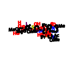 CC#C/C=C\C#C[C@H](OC1OC(C)C(NOC2CC(O)C(SC(=O)c3c(C)c(I)c(OC4OC(C)C(O)C(OC)C4O)c(OC)c3OC)C(C)O2)C(O)C1OC1CC(OC)C(N(CC)C(C)=O)CO1)C1/C(=C\CSSC(C)C)[C@](O)(C(C)C)CC(=O)C1NC(=O)OC